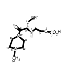 CC(C)C[C@H](NCCCC(=O)O)C(=O)N1CCN(C)CC1